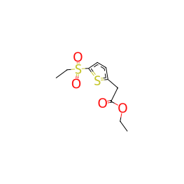 CCOC(=O)Cc1ccc(S(=O)(=O)CC)s1